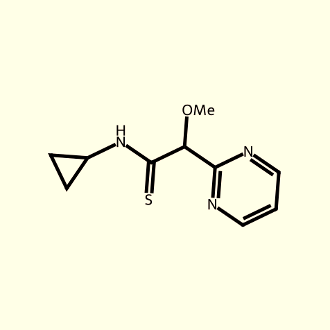 COC(C(=S)NC1CC1)c1ncccn1